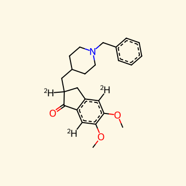 [2H]c1c2c(c([2H])c(OC)c1OC)C(=O)C([2H])(CC1CCN(Cc3ccccc3)CC1)C2